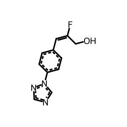 OC/C(F)=C\c1ccc(-n2cncn2)cc1